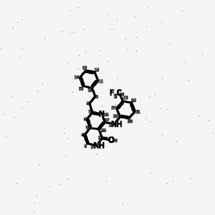 O=c1[nH]ccc2cc(CCc3ccccc3)nc(Nc3cccc(C(F)(F)F)c3)c12